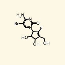 Nc1nc(=O)n(C2C(F)=C(CO)C(O)C2O)cc1Br